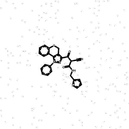 N#CC(C(=O)NCc1cccs1)C(=O)c1nn(-c2ccccc2)c2c1CSc1ccccc1-2